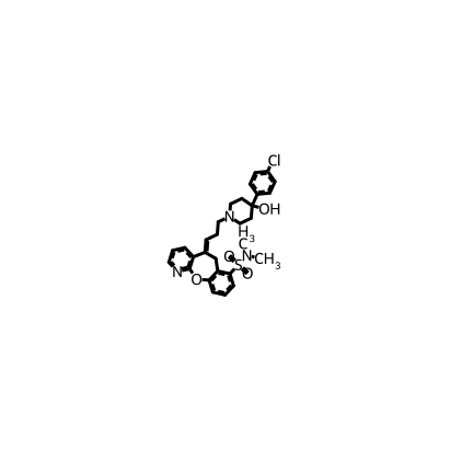 CN(C)S(=O)(=O)c1cccc2c1CC(=CCCN1CCC(O)(c3ccc(Cl)cc3)CC1)c1cccnc1O2